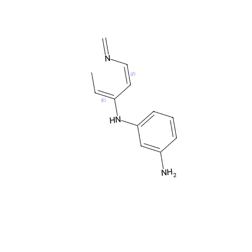 C=N/C=C\C(=C/C)Nc1cccc(N)c1